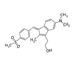 CC1=C(CCO)c2cc(N(C)C)ccc2C1=Cc1ccc(S(C)(=O)=O)cc1